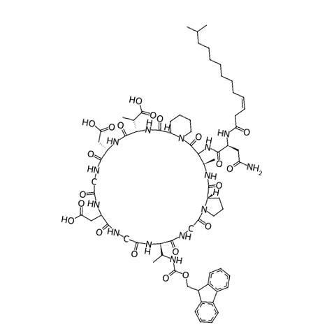 CC(C)CCCCCCC/C=C\CC(=O)N[C@@H](CC(N)=O)C(=O)NC1C(=O)N2CCCC[C@@H]2C(=O)N[C@@H](C(C)C(=O)O)C(=O)N[C@@H](CC(=O)O)C(=O)NCC(=O)NC(CC(=O)O)C(=O)NCC(=O)N[C@H](C(C)NC(=O)OCC2c3ccccc3-c3ccccc32)C(=O)NCC(=O)N2CCC[C@H]2C(=O)N[C@@H]1C